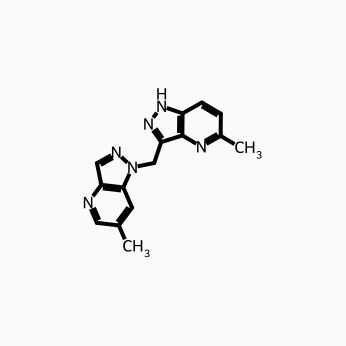 Cc1cnc2cnn(Cc3n[nH]c4ccc(C)nc34)c2c1